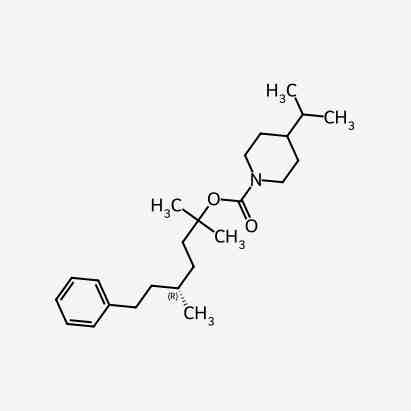 CC(C)C1CCN(C(=O)OC(C)(C)CC[C@H](C)CCc2ccccc2)CC1